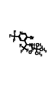 CC(C)(C)[S+]([O-])NC(c1cc(C(F)(F)F)ncc1Br)C(F)(F)F